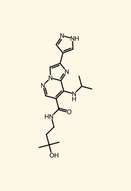 CC(C)Nc1c(C(=O)NCCC(C)(C)O)cnn2cc(-c3cn[nH]c3)nc12